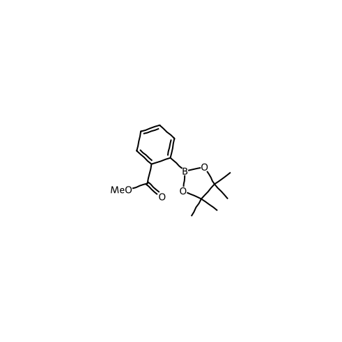 COC(=O)c1ccccc1B1OC(C)(C)C(C)(C)O1